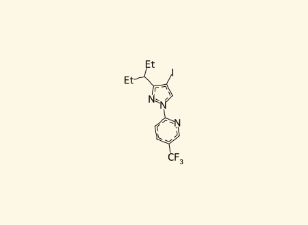 CCC(CC)c1nn(-c2ccc(C(F)(F)F)cn2)cc1I